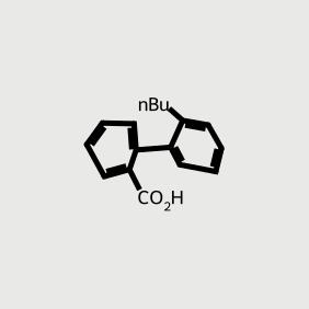 CCCCc1ccccc1-c1ccccc1C(=O)O